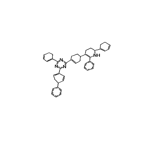 C1=CCCC(c2nc(C3=CCC(c4ccccc4)C=C3)nc(C3=CCC(C4=C(c5ccccc5)NC(C5=CC=CCC5)CC4)CC3)n2)=C1